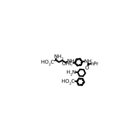 CCCC(=O)Nc1ccc(C=O)cc1.NC1CCCCC1.NCCC[C@H](N)C(=O)O.O=C(O)c1ccccc1